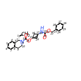 C=C[C@H]1c2ccccc2CCN1C(=O)OC12CC(NC(=O)OCc3ccccc3)(C1)C2